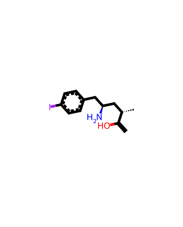 C=C(O)[C@@H](C)C[C@@H](N)Cc1ccc(I)cc1